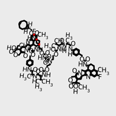 CC[C@@]1(O)C(=O)OCc2c1cc1n(c2=O)Cc2c-1nc1cc(F)c(C)c3c1c2[C@@H](NC(=O)OCc1ccc(NC(=O)[C@H](C)NC(=O)[C@@H](NC(=O)OCCN(CCOC(=O)N[C@H](C(=O)N[C@@H](C)C(=O)Nc2ccc(COC(=O)N[C@H]4CCc5c(C)c(F)cc6nc7c(c4c56)Cn4c-7cc5c(c4=O)COC(=O)[C@]5(O)CC)cc2)C(C)C)S(=O)(=O)NC(=O)OCCCCCNC(=O)OC[C@@H]2[C@@H]4CCC#CCC[C@@H]42)C(C)C)cc1)CC3